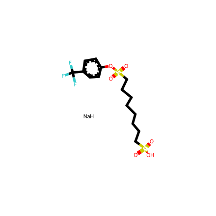 O=S(=O)(O)CCCCCCCCS(=O)(=O)Oc1ccc(C(F)(F)F)cc1.[NaH]